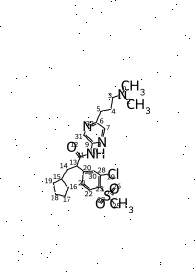 CN(C)CCCc1cnc(NC(=O)C(CC2CCCC2)c2ccc(S(C)(=O)=O)c(Cl)c2)cn1